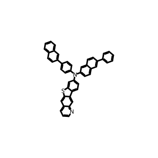 c1ccc(-c2ccc3cc(N(c4ccc(-c5ccc6ccccc6c5)cc4)c4ccc5c(c4)sc4cc6cccnc6cc45)ccc3c2)cc1